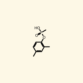 Cc1ccc(OP(C)(=O)O)c(C)c1